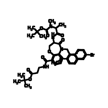 COc1ccc2cc(Br)ccc2c1CN1C(=O)C(NC(=O)C(C)N(C)C(=O)OC(C)(C)C)COc2c(C(=O)NCCC(=O)OC(C)(C)C)cccc21